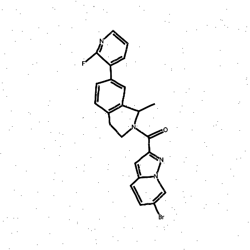 CC1c2cc(-c3cccnc3F)ccc2CCN1C(=O)c1cc2ccc(Br)cn2n1